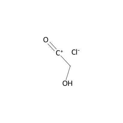 O=[C+]CO.[Cl-]